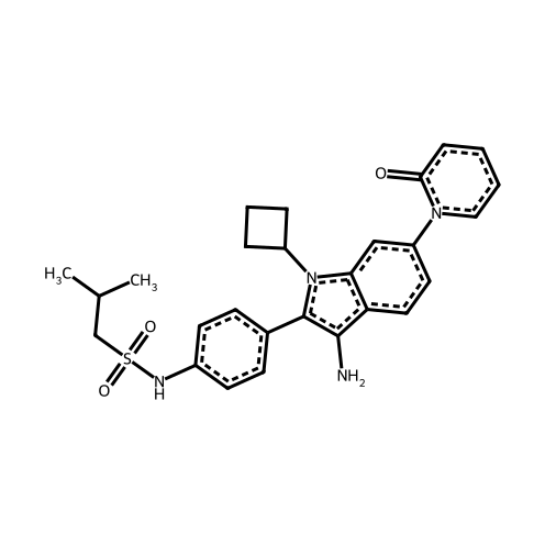 CC(C)CS(=O)(=O)Nc1ccc(-c2c(N)c3ccc(-n4ccccc4=O)cc3n2C2CCC2)cc1